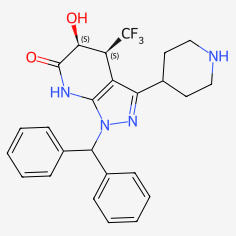 O=C1Nc2c(c(C3CCNCC3)nn2C(c2ccccc2)c2ccccc2)[C@H](C(F)(F)F)[C@@H]1O